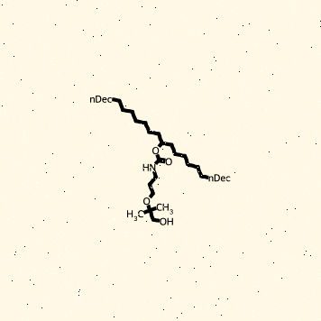 CCCCCCCCCCCCCCCCCC(CCCCCCCCCCCCCCCC)OC(=O)NCCCOC(C)(C)CO